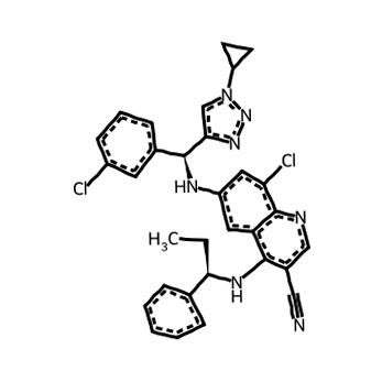 CC[C@@H](Nc1c(C#N)cnc2c(Cl)cc(N[C@@H](c3cccc(Cl)c3)c3cn(C4CC4)nn3)cc12)c1ccccc1